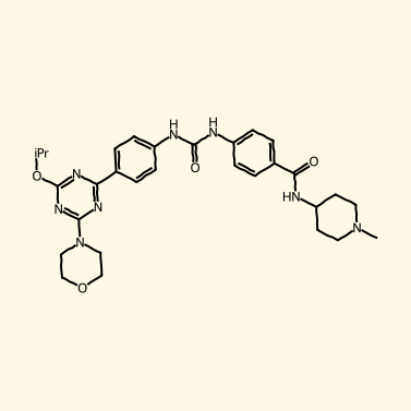 CC(C)Oc1nc(-c2ccc(NC(=O)Nc3ccc(C(=O)NC4CCN(C)CC4)cc3)cc2)nc(N2CCOCC2)n1